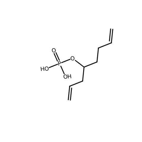 C=CCCC(CC=C)OP(=O)(O)O